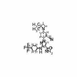 CC1(C)CCN1C1CCC(n2cc(C(N)=O)c(Nc3ccc(C(F)(F)F)cc3)n2)C(C#N)C1